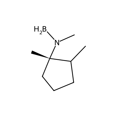 BN(C)[C@@]1(C)CCCC1C